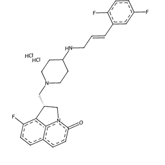 Cl.Cl.O=c1ccc2ccc(F)c3c2n1C[C@H]3CN1CCC(NCC=Cc2cc(F)ccc2F)CC1